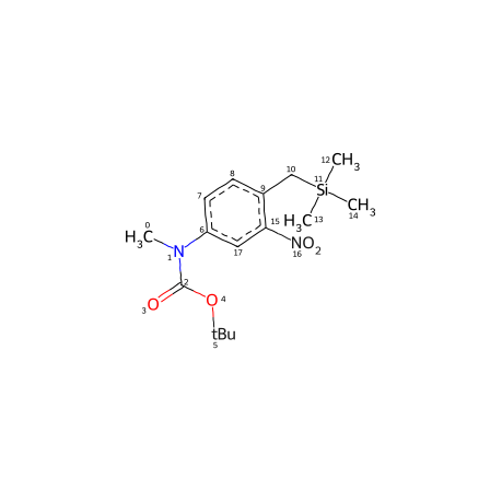 CN(C(=O)OC(C)(C)C)c1ccc(C[Si](C)(C)C)c([N+](=O)[O-])c1